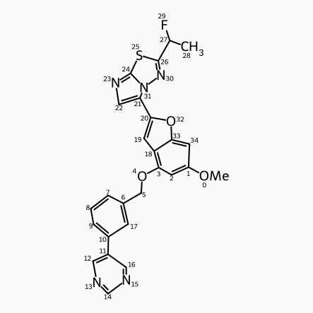 COc1cc(OCc2cccc(-c3cncnc3)c2)c2cc(-c3cnc4sc(C(C)F)nn34)oc2c1